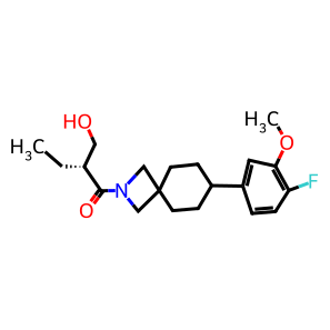 CC[C@H](CO)C(=O)N1CC2(CCC(c3ccc(F)c(OC)c3)CC2)C1